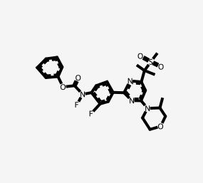 CC1COCCN1c1cc(C(C)(C)S(C)(=O)=O)nc(-c2ccc(N(F)C(=O)Oc3ccccc3)c(F)c2)n1